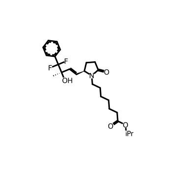 CC(C)OC(=O)CCCCCCN1C(=O)CC[C@@H]1C=C[C@@](C)(O)C(F)(F)c1ccccc1